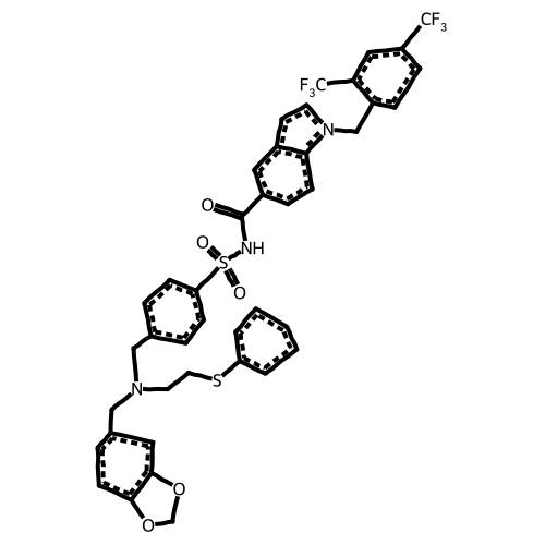 O=C(NS(=O)(=O)c1ccc(CN(CCSc2ccccc2)Cc2ccc3c(c2)OCO3)cc1)c1ccc2c(ccn2Cc2ccc(C(F)(F)F)cc2C(F)(F)F)c1